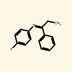 CCC(=Nc1ccc(F)cc1)c1ccccc1